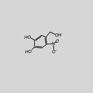 O=[N+]([O-])c1cc(O)c(O)cc1CO